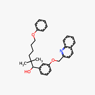 CC(C)(CCCCOc1ccccc1)C(O)c1cccc(OCc2ccc3ccccc3n2)c1